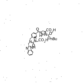 CCCCOC(=O)N[C@@H](CNC(=O)c1ccc(CN(Cc2nc3ccccc3[nH]2)C(=O)NCC(=O)O)cc1)C(=O)O